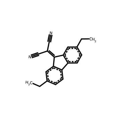 CCc1ccc2c(c1)C(=C(C#N)C#N)c1cc(CC)ccc1-2